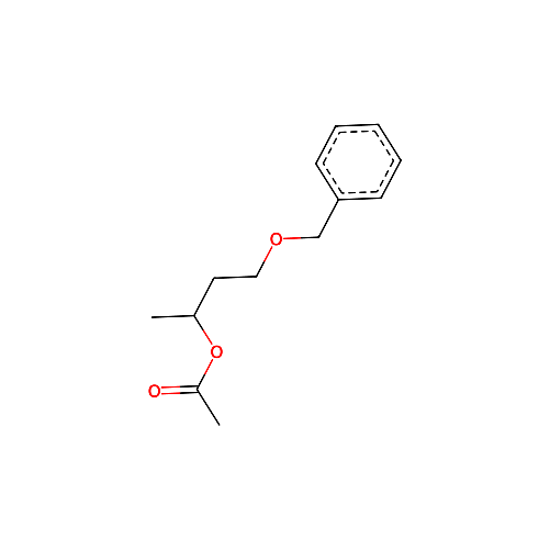 CC(=O)OC(C)CCOCc1ccccc1